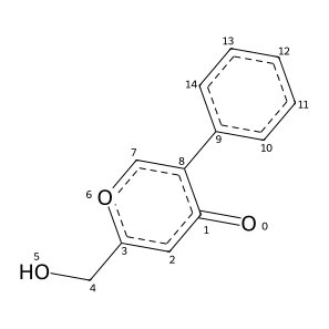 O=c1cc(CO)occ1-c1ccccc1